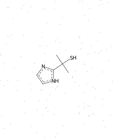 CC(C)(S)c1ncc[nH]1